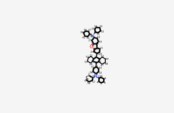 c1ccc(N(c2ccccc2)c2ccc(-c3c4c(c(-c5ccc6c(c5)oc5cc(N(c7ccccc7)c7ccccc7)ccc56)c5c3CCCC5)CCCC4)cc2)cc1